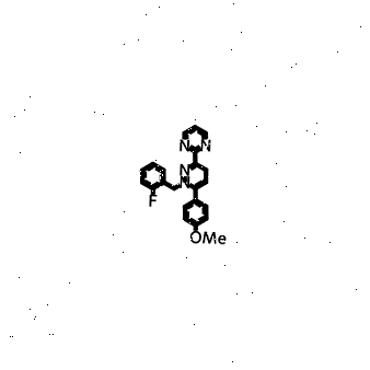 COc1ccc(C2=CCC(c3ncccn3)=NN2Cc2ccccc2F)cc1